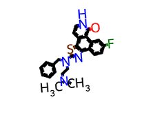 CN(C)CCN(Cc1ccccc1)c1nc2c3ccc(F)cc3c3c(=O)[nH]ccc3c2s1